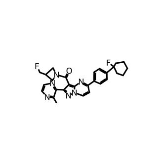 Cc1nccnc1-c1nn2ccc(-c3ccc(C4(F)CCCCC4)cc3)nc2c1C(=O)N1CC(CF)C1